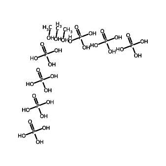 CO.CO.CO.O=P(O)(O)O.O=P(O)(O)O.O=P(O)(O)O.O=P(O)(O)O.O=P(O)(O)O.O=P(O)(O)O.O=P(O)(O)O